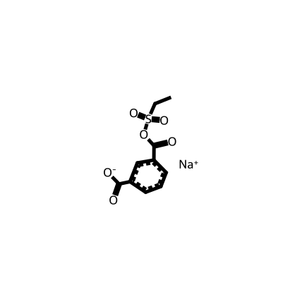 CCS(=O)(=O)OC(=O)c1cccc(C(=O)[O-])c1.[Na+]